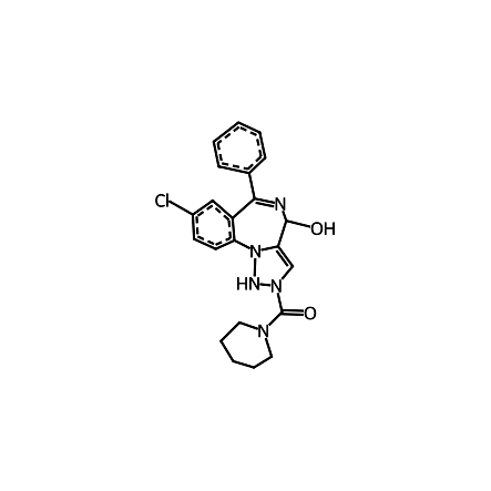 O=C(N1CCCCC1)N1C=C2C(O)N=C(c3ccccc3)c3cc(Cl)ccc3N2N1